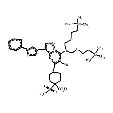 CCOC(=O)C1(S(C)(=O)=O)CCC(c2nc3c(-c4cnn(-c5ccccc5)c4)cnn3c(N(COCC[Si](C)(C)C)COCC[Si](C)(C)C)c2Br)CC1